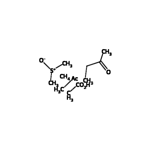 C.CC(=O)O.CC(C)=O.CCC(C)=O.C[S+](C)[O-]